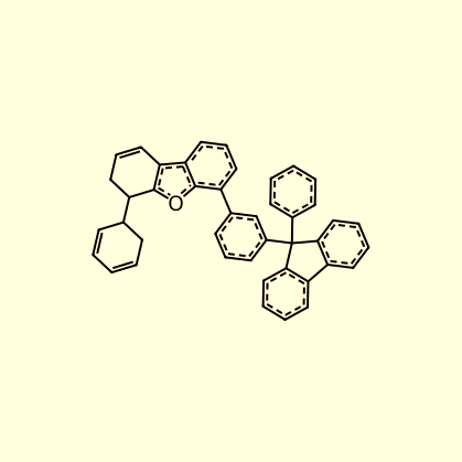 C1=CCC(C2CC=Cc3c2oc2c(-c4cccc(C5(c6ccccc6)c6ccccc6-c6ccccc65)c4)cccc32)C=C1